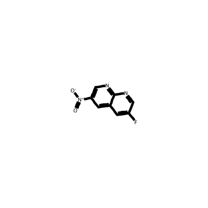 O=[N+]([O-])c1cnc2ncc(F)cc2c1